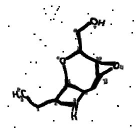 CCC1NC2C1OC(CO)C1OC21